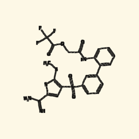 CSc1sc(C(=N)N)cc1S(=O)(=O)c1cccc(-c2ccccc2NC(=O)COC(=O)C(F)(F)F)c1